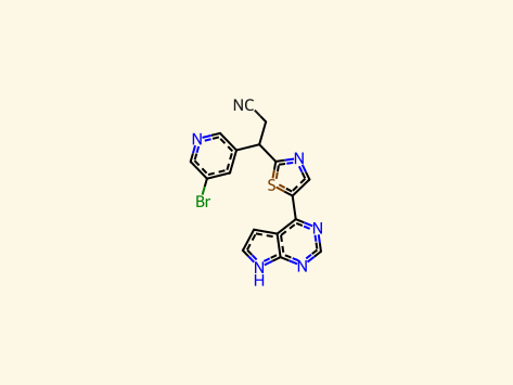 N#CCC(c1cncc(Br)c1)c1ncc(-c2ncnc3[nH]ccc23)s1